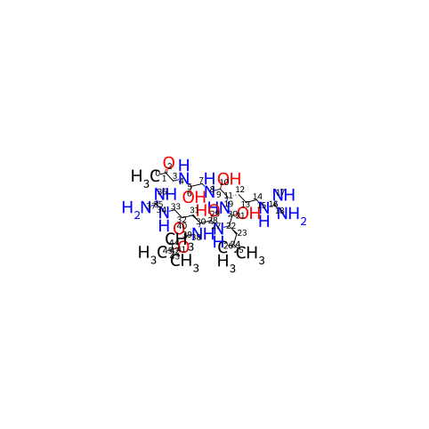 CC(=O)CNC(O)CNC(O)[C@H](CCCNC(=N)N)NC(O)[C@@H](CC(C)C)NC(O)[C@H](CCCNC(=N)N)NC(=O)OC(C)(C)C